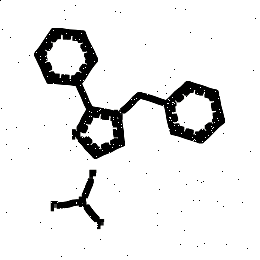 FB(F)F.c1ccc(Cn2ccnc2-c2ccccc2)cc1